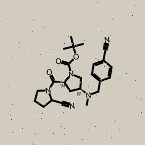 CN(Cc1ccc(C#N)cc1)[C@H]1C[C@@H](C(=O)N2CCCC2C#N)N(C(=O)OC(C)(C)C)C1